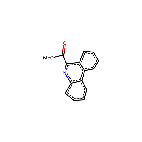 COC(=O)c1nc2ccccc2c2ccccc12